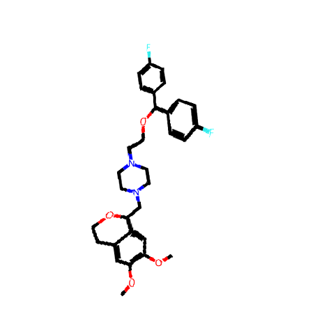 COc1cc2c(cc1OC)C(CN1CCN(CCOC(c3ccc(F)cc3)c3ccc(F)cc3)CC1)OCC2